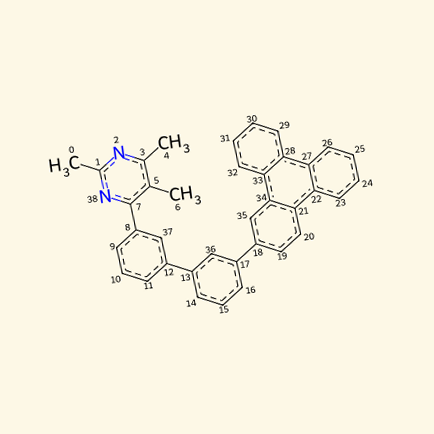 Cc1nc(C)c(C)c(-c2cccc(-c3cccc(-c4ccc5c6ccccc6c6ccccc6c5c4)c3)c2)n1